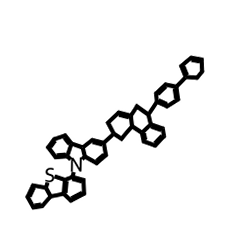 C1=CCCC(c2ccc(C3CC4=CCC(C5=CC6c7ccccc7N(c7cccc8c7SC7C=CC=CC87)C6C=C5)CC4c4ccccc43)cc2)=C1